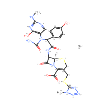 CNc1ncc(N(C(N)=O)C(C(=O)NC2C(=O)N3C(C(=O)[O-])=C(CSc4nnnn4C)CS[C@H]23)c2ccc(O)cc2)c(O)n1.[Na+]